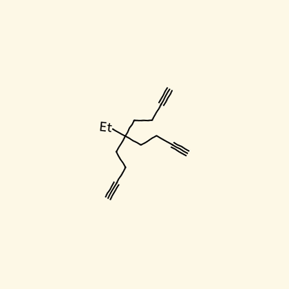 C#CCCC(CC)(CCC#C)CCC#C